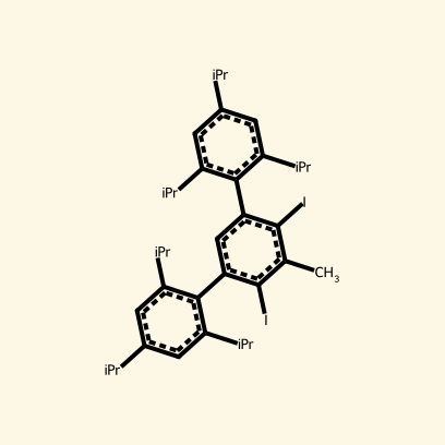 Cc1c(I)c(-c2c(C(C)C)cc(C(C)C)cc2C(C)C)cc(-c2c(C(C)C)cc(C(C)C)cc2C(C)C)c1I